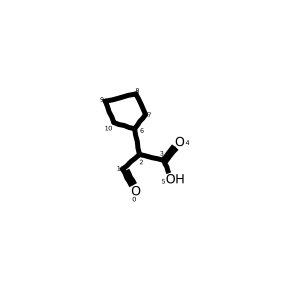 O=CC(C(=O)O)C1CCCC1